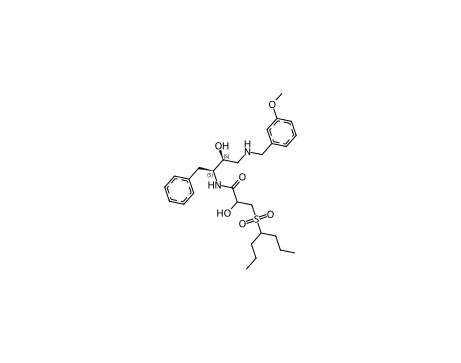 CCCC(CCC)S(=O)(=O)CC(O)C(=O)N[C@@H](Cc1ccccc1)[C@@H](O)CNCc1cccc(OC)c1